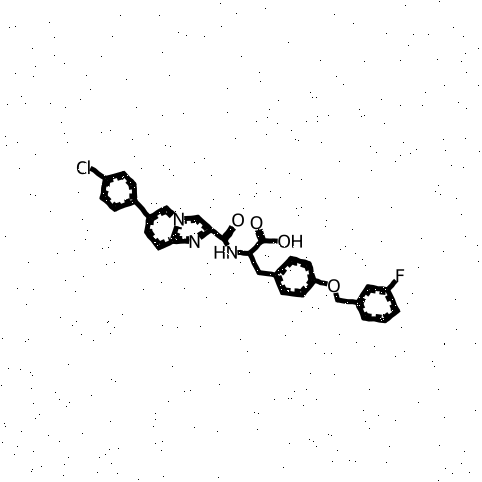 O=C(NC(Cc1ccc(OCc2cccc(F)c2)cc1)C(=O)O)c1cn2cc(-c3ccc(Cl)cc3)ccc2n1